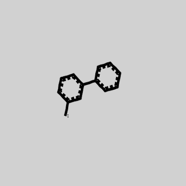 [CH]c1cccc(-c2ccccc2)c1